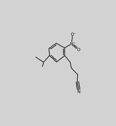 CC(C)c1ccc([N+](=O)[O-])c(CCCC#N)c1